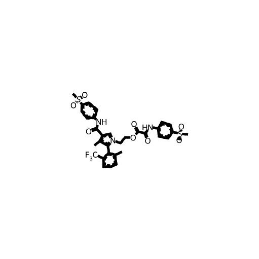 Cc1cccc(C(F)(F)F)c1-c1c(C)c(C(=O)Nc2ccc(S(C)(=O)=O)cc2)cn1CCOC(=O)C(=O)Nc1ccc(S(C)(=O)=O)cc1